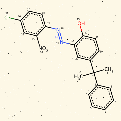 CC(C)(c1ccccc1)c1ccc(O)c(/N=N/c2ccc(Cl)cc2[N+](=O)[O-])c1